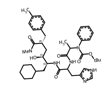 CNC(=O)[C@H](Cc1ccc(C)cc1)C[C@H](O)[C@H](CC1CCCCC1)NC(=O)C(Cc1c[nH]cn1)NC(=O)C(C)N(C(=O)OC(C)(C)C)c1ccccc1